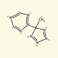 CC1(c2ncncn2)N=NN=N1